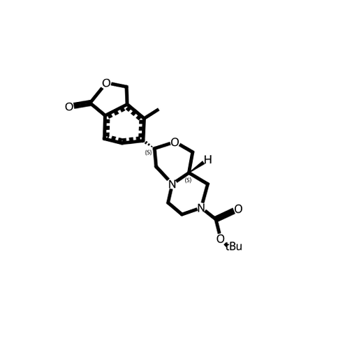 Cc1c([C@H]2CN3CCN(C(=O)OC(C)(C)C)C[C@H]3CO2)ccc2c1COC2=O